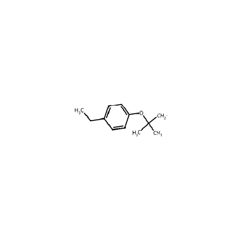 [CH2]C(C)(C)Oc1ccc(CC)cc1